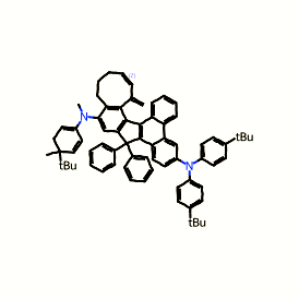 C=C1/C=C\CCCc2c(N(C)C3=CCC(C)(C(C)(C)C)C=C3)cc3c(c21)-c1c(c2ccc(N(c4ccc(C(C)(C)C)cc4)c4ccc(C(C)(C)C)cc4)cc2c2ccccc12)C3(c1ccccc1)c1ccccc1